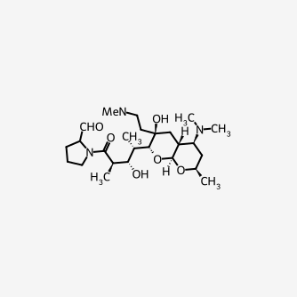 CNCC[C@]1(O)C[C@H]2[C@@H](O[C@H](C)C[C@@H]2N(C)C)O[C@@H]1[C@@H](C)[C@H](O)[C@@H](C)C(=O)N1CCCC1C=O